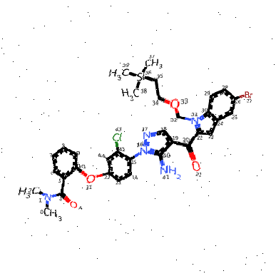 CN(C)C(=O)c1ccccc1Oc1ccc(-n2ncc(C(=O)c3cc4cc(Br)ccc4n3COCC[Si](C)(C)C)c2N)c(Cl)c1